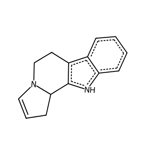 C1=CN2CCc3c([nH]c4ccccc34)C2C1